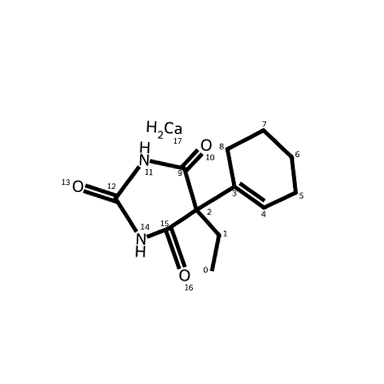 CCC1(C2=CCCCC2)C(=O)NC(=O)NC1=O.[CaH2]